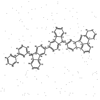 C1=Cc2c(cc3c4c(cccc24)C2C=CC(n4c5ccccc5c5cc(-c6ccc7c(c6)c6ccccc6n7-c6cccc(-c7ccccc7)c6)ccc54)=CC32)CC1